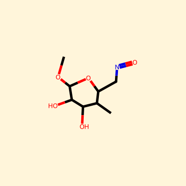 COC1OC(CN=O)C(C)C(O)C1O